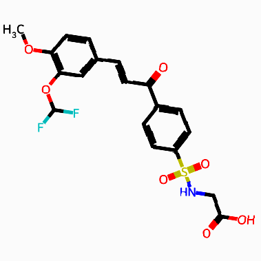 COc1ccc(/C=C/C(=O)c2ccc(S(=O)(=O)NCC(=O)O)cc2)cc1OC(F)F